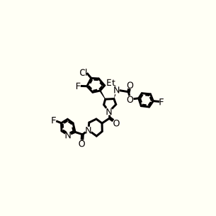 CCN(C(=O)Oc1ccc(F)cc1)[C@@H]1CN(C(=O)C2CCN(C(=O)c3ccc(F)cn3)CC2)C[C@H]1c1ccc(Cl)c(F)c1